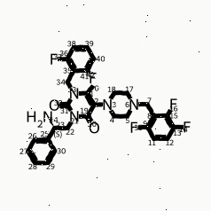 Cc1c(N2CCN(Cc3c(F)ccc(F)c3F)CC2)c(=O)n(C[C@@H](N)c2ccccc2)c(=O)n1Cc1c(F)cccc1F